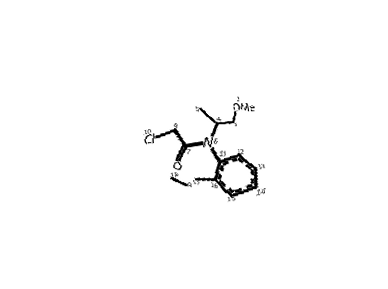 CC.COCC(C)N(C(=O)CCl)c1ccccc1C